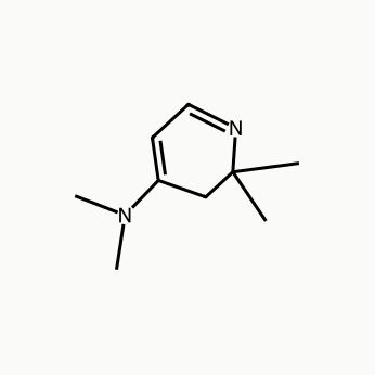 CN(C)C1=CC=NC(C)(C)C1